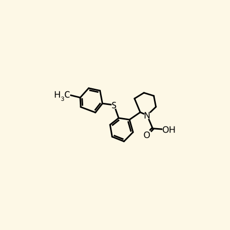 Cc1ccc(Sc2ccccc2C2CCCCN2C(=O)O)cc1